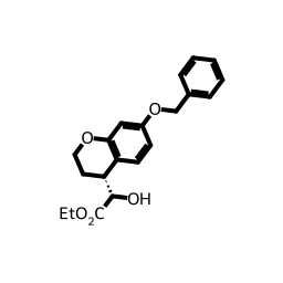 CCOC(=O)C(O)[C@@H]1CCOc2cc(OCc3ccccc3)ccc21